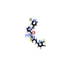 Cc1ccc(C=Cc2csc(NC(=O)c3cccn3Cc3ccnc(F)c3)n2)nc1F